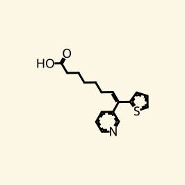 O=C(O)CCCCC/C=C(\c1cccnc1)c1cccs1